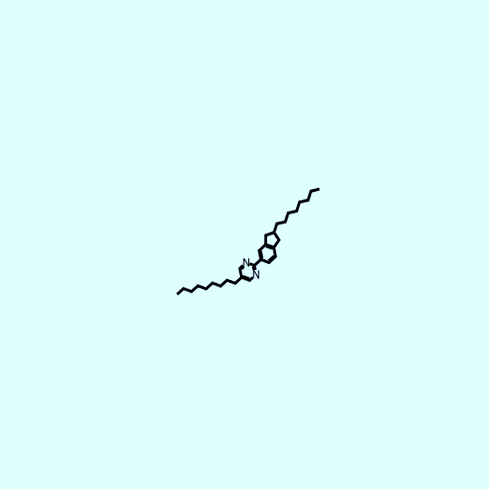 CCCCCCCCCc1cnc(-c2ccc3c(c2)CC(CCCCCCCC)C3)nc1